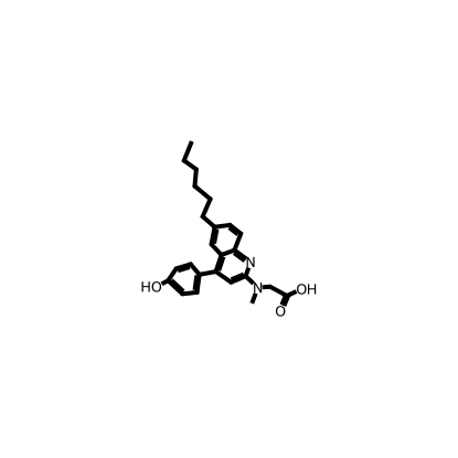 CCCCCCc1ccc2nc(N(C)CC(=O)O)cc(-c3ccc(O)cc3)c2c1